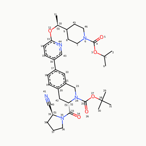 CC(C)OC(=O)N1CCC([C@H](C)Oc2ccc(-c3ccc4c(c3)CN(C(=O)OC(C)(C)C)[C@H](C(=O)N3CCC[C@H]3C#N)C4)cn2)CC1